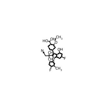 CCOc1cc(-c2c(C(C)(C)CC#N)n(-c3ccc(F)c(C)c3)c3cc(F)cc(O)c23)ccc1C(O)O